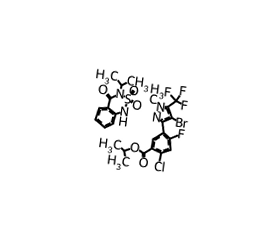 CC(C)N1C(=O)c2ccccc2NS1(=O)=O.CC(C)OC(=O)c1cc(-c2nn(C)c(C(F)(F)F)c2Br)c(F)cc1Cl